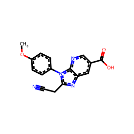 COc1ccc(-n2c(CC#N)nc3cc(C(=O)O)cnc32)cc1